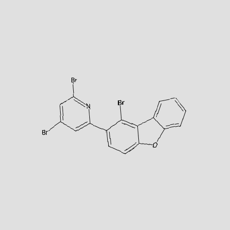 Brc1cc(Br)nc(-c2ccc3oc4ccccc4c3c2Br)c1